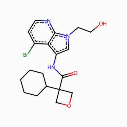 O=C(Nc1cn(CCO)c2nccc(Br)c12)C1(C2CCCCC2)COC1